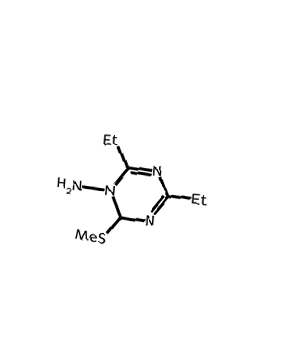 CCC1=NC(SC)N(N)C(CC)=N1